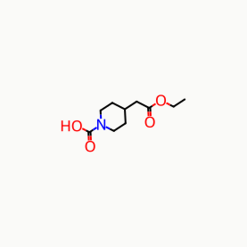 CCOC(=O)CC1CCN(C(=O)O)CC1